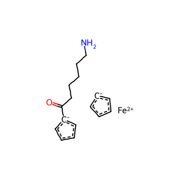 NCCCCCC(=O)[c-]1cccc1.[Fe+2].c1cc[cH-]c1